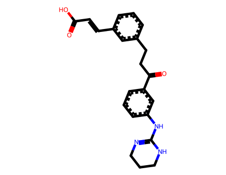 O=C(O)C=Cc1cccc(CCC(=O)c2cccc(NC3=NCCCN3)c2)c1